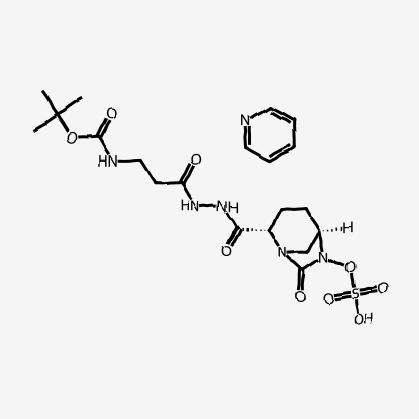 CC(C)(C)OC(=O)NCCC(=O)NNC(=O)[C@@H]1CC[C@@H]2CN1C(=O)N2OS(=O)(=O)O.c1ccncc1